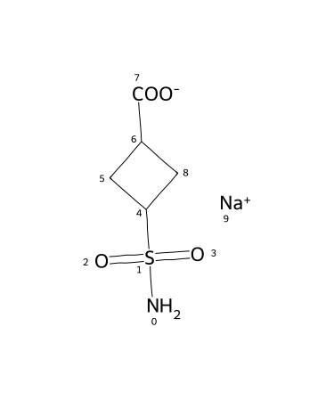 NS(=O)(=O)C1CC(C(=O)[O-])C1.[Na+]